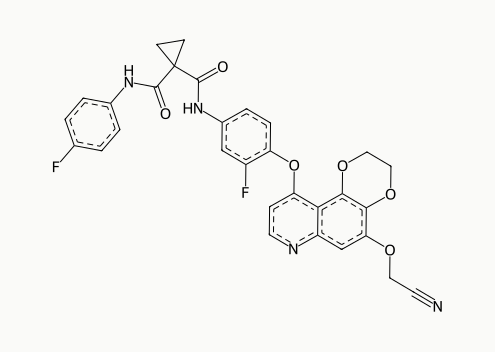 N#CCOc1cc2nccc(Oc3ccc(NC(=O)C4(C(=O)Nc5ccc(F)cc5)CC4)cc3F)c2c2c1OCCO2